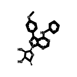 COc1ccc(-c2nn([C@@H]3O[C@H](C)[C@@H](O)[C@H]3O)c3ncnc(Nc4ccccc4)c23)cc1